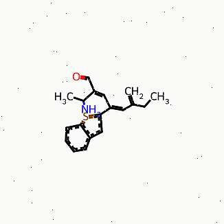 C=C(/C=C(\C=C(\C=O)C(C)N)c1cc2ccccc2s1)CC